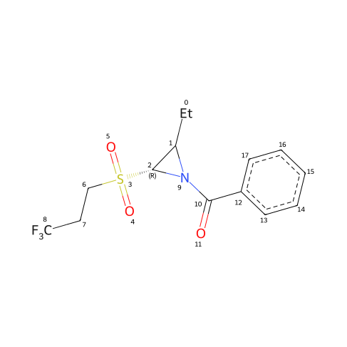 CCC1[C@@H](S(=O)(=O)CCC(F)(F)F)N1C(=O)c1ccccc1